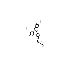 CC1=C(c2ccc(Cl)c(F)c2)C(c2ccc(OC[C@H](C)N3CC[C@@H](CF)C3)cc2)Oc2ccc(O)cc21